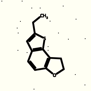 CCc1cc2ccc3c(c2s1)CCO3